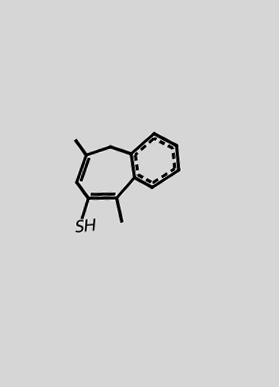 CC1=CC(S)=C(C)c2ccccc2C1